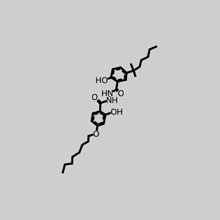 CCCCCCCCOc1ccc(C(=O)NNC(=O)c2cc(C(C)(C)CCCCC)ccc2O)c(O)c1